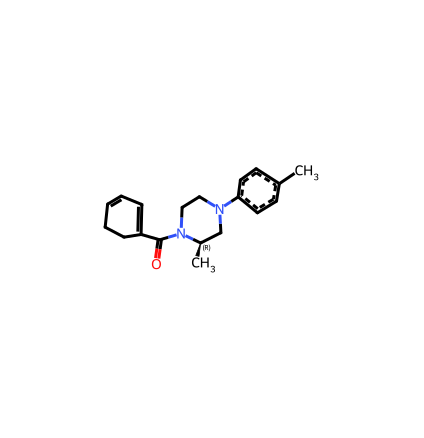 Cc1ccc(N2CCN(C(=O)C3=CC=CCC3)[C@H](C)C2)cc1